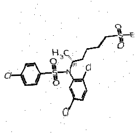 CCS(=O)(=O)CCCC[C@@H](C)N(c1cc(Cl)ccc1Cl)S(=O)(=O)c1ccc(Cl)cc1